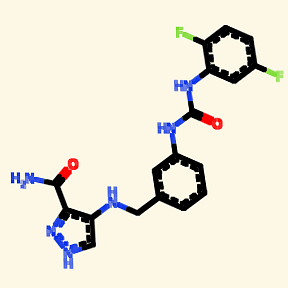 NC(=O)c1n[nH]cc1NCc1cccc(NC(=O)Nc2cc(F)ccc2F)c1